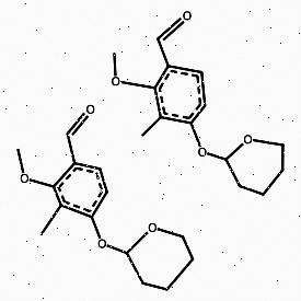 COc1c(C=O)ccc(OC2CCCCO2)c1C.COc1c(C=O)ccc(OC2CCCCO2)c1C